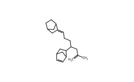 C=C(C)CC(CCC=C1CC2CCC1C2)C1CC2C=CC1C2